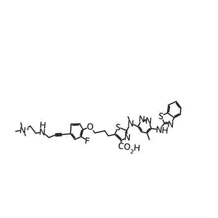 Cc1cc(N(C)c2nc(C(=O)O)c(CCCOc3ccc(C#CCNCC[N+](C)(C)C)cc3F)s2)nnc1Nc1nc2ccccc2s1